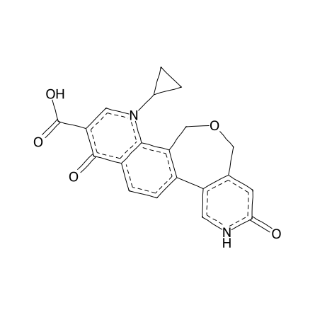 O=C(O)c1cn(C2CC2)c2c3c(ccc2c1=O)-c1c[nH]c(=O)cc1COC3